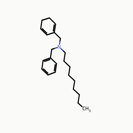 CCCCCCCCCN(CC1=CCCC=C1)Cc1ccccc1